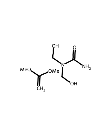 C=C(OC)OC.NC(=O)N(CO)CO